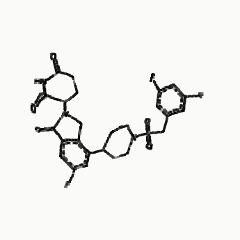 O=C1CCC(N2Cc3c(cc(F)cc3C3CCN(S(=O)(=O)Cc4cc(F)cc(F)c4)CC3)C2=O)C(=O)N1